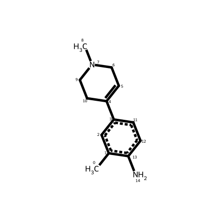 Cc1cc(C2=CCN(C)CC2)ccc1N